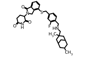 CC1CC2CC(C1)CC(C)(CNCc1ccc(CSc3cccc4c3CN(C3CCC(=O)NC3=O)C4=O)cc1F)C2